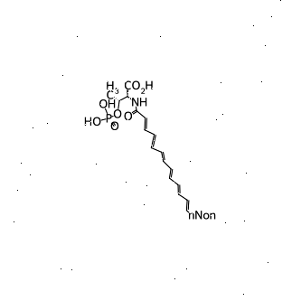 CCCCCCCCCC=CC=CC=CC=CC=CC=CC(=O)N[C@H](C(=O)O)[C@@H](C)OP(=O)(O)O